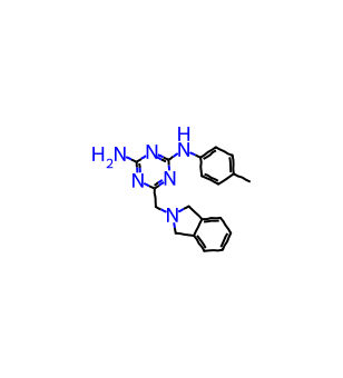 Cc1ccc(Nc2nc(N)nc(CN3Cc4ccccc4C3)n2)cc1